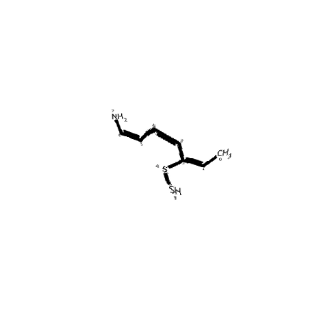 C\C=C(/C=C\C=C/N)SS